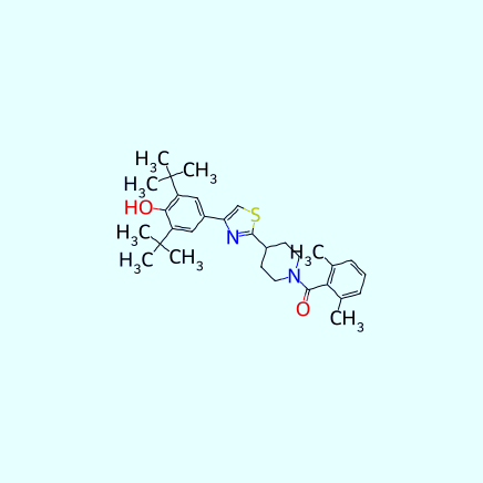 Cc1cccc(C)c1C(=O)N1CCC(c2nc(-c3cc(C(C)(C)C)c(O)c(C(C)(C)C)c3)cs2)CC1